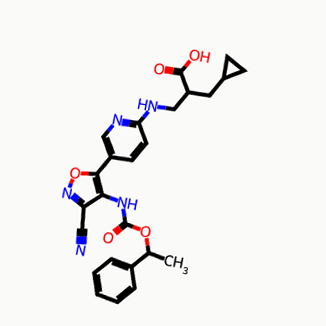 CC(OC(=O)Nc1c(C#N)noc1-c1ccc(NCC(CC2CC2)C(=O)O)nc1)c1ccccc1